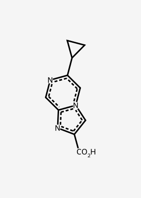 O=C(O)c1cn2cc(C3CC3)ncc2n1